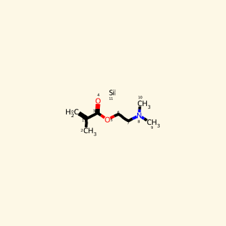 C=C(C)C(=O)OCCN(C)C.[Si]